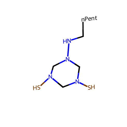 CCCCCCNN1CN(S)CN(S)C1